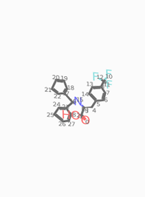 O=C(O)[C@H](Cc1ccc(C(F)(F)F)cc1)N=C(c1ccccc1)c1ccccc1